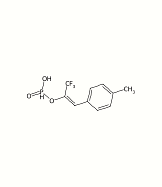 Cc1ccc(/C=C(/O[PH](=O)O)C(F)(F)F)cc1